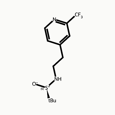 CC(C)(C)[S@@+]([O-])NCCc1ccnc(C(F)(F)F)c1